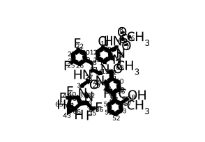 Cn1nc(NS(C)(=O)=O)c2c(Cl)ccc(-n3c([C@H](Cc4cc(F)cc(F)c4)NC(=O)Cn4nc(C(F)F)c5c4C(F)(F)[C@@H]4C[C@H]54)nc4cc(-c5ccccc5C(C)(C)O)ccc4c3=O)c21